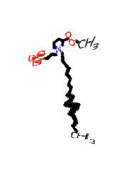 CCCCCCCCCCCCCCCC[N+]1(CCCS(=O)(=O)[O-])CCCC(C(=O)OCC)C1